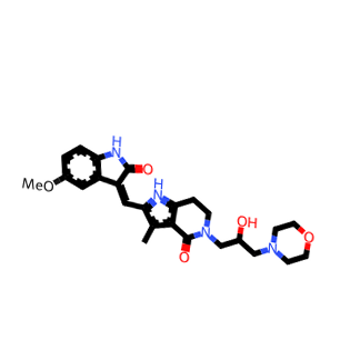 COc1ccc2c(c1)C(=Cc1[nH]c3c(c1C)C(=O)N(CC(O)CN1CCOCC1)CC3)C(=O)N2